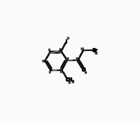 Cc1cccc(I)c1C(=O)CBr